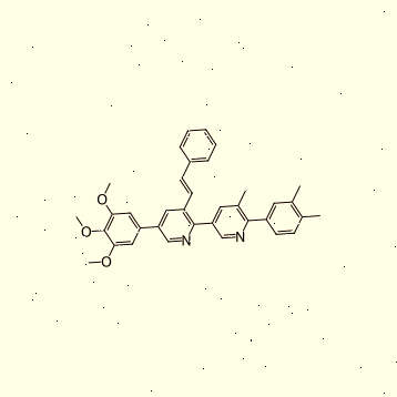 COc1cc(-c2cnc(-c3cnc(-c4ccc(C)c(C)c4)c(C)c3)c(/C=C/c3ccccc3)c2)cc(OC)c1OC